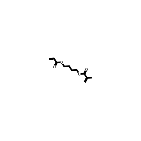 C=CC(=O)OCCCCOC(=O)C(=C)C